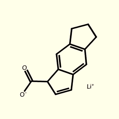 O=C([O-])C1C=Cc2cc3c(cc21)CCC3.[Li+]